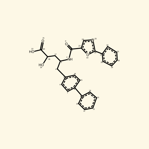 O=C(NC(Cc1ccc(-c2ccccc2)cc1)CC(O)C(=O)O)c1cnc(-c2ccccc2)o1